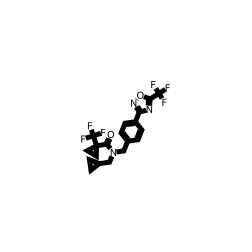 O=C(N(Cc1ccc(-c2noc(C(F)(F)F)n2)cc1)CC1CC1)C1(C(F)(F)F)CC1